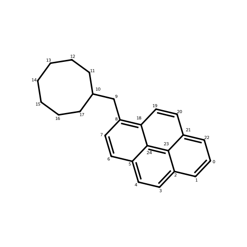 c1cc2ccc3ccc(CC4CCCCCCC4)c4ccc(c1)c2c34